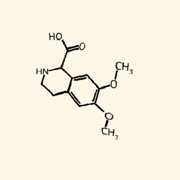 COc1cc2c(cc1OC)C(C(=O)O)NCC2